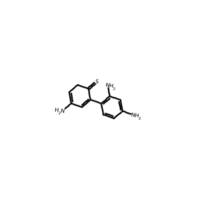 NC1=CCC(=S)C(c2ccc(N)cc2N)=C1